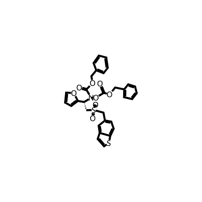 O=C(OCc1ccccc1)ON(C(=O)OCc1ccccc1)[C@H](CS(=O)(=O)Cc1ccc2sccc2c1)c1ccco1